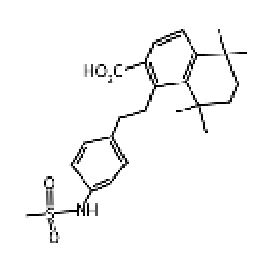 CC1(C)CCC(C)(C)c2c1ccc(C(=O)O)c2CCc1ccc(NS(C)(=O)=O)cc1